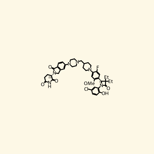 CCC1(CC)C(=O)N(c2cc(Cl)ccc2O)[C@H]1c1cc(F)c(N2CCC(CN3CCN(c4ccc5c(c4)CN([C@H]4CCC(=O)NC4=O)C5=O)CC3)CC2)cc1OC